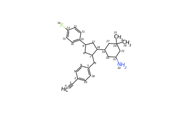 C#Cc1ccc(CC2CC(c3ccc(F)cc3)CC2C2CC(N)CC(C)(C)C2)cc1